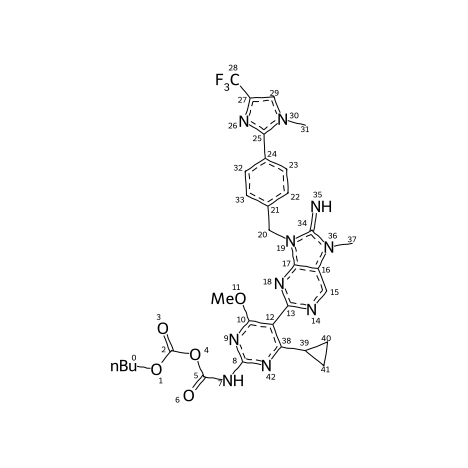 CCCCOC(=O)OC(=O)Nc1nc(OC)c(-c2ncc3c(n2)n(Cc2ccc(-c4nc(C(F)(F)F)cn4C)cc2)c(=N)n3C)c(C2CC2)n1